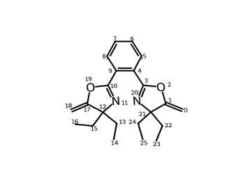 C=C1OC(c2[c]cc[c]c2C2=NC(CC)(CC)C(=C)O2)=NC1(CC)CC